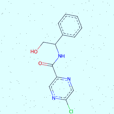 O=C(NC(CO)c1ccccc1)c1cnc(Cl)cn1